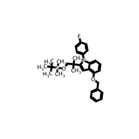 CC(C)(CO[Si](C)(C)C(C)(C)C)c1cc2c(OCc3ccccc3)cccc2n1-c1ccc(F)cc1